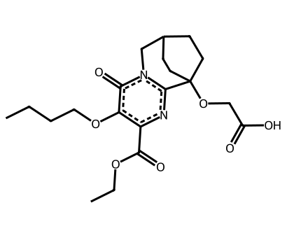 CCCCOc1c(C(=O)OCC)nc2n(c1=O)CC1CCC2(OCC(=O)O)CC1